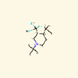 CC(C)(C)C1CCN(C(C)(C)C)CC1C(F)(F)F